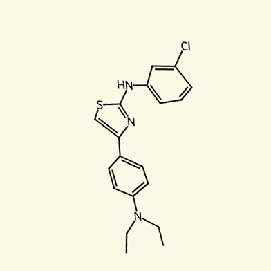 CCN(CC)c1ccc(-c2csc(Nc3cccc(Cl)c3)n2)cc1